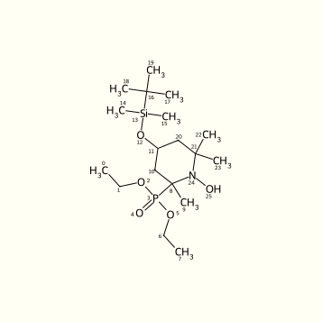 CCOP(=O)(OCC)C1(C)CC(O[Si](C)(C)C(C)(C)C)CC(C)(C)N1O